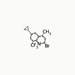 Cc1cc(Br)nc2c(C(F)(F)F)cc(C3CC3)cc12